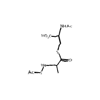 CC(=O)NC(CSC(=O)C(C)NSC(C)=O)C(=O)O